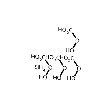 O=C(O)OO.O=C(O)OO.O=C(O)OO.O=C(O)OO.[SiH4]